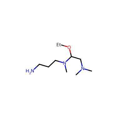 CCOC(CN(C)C)N(C)CCCN